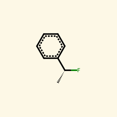 C[C@@H](F)c1ccccc1